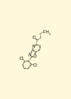 CCCC(=O)c1ccc2oc(-c3c(Cl)cccc3Cl)nc2n1